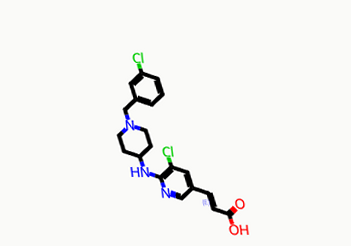 O=C(O)/C=C/c1cnc(NC2CCN(Cc3cccc(Cl)c3)CC2)c(Cl)c1